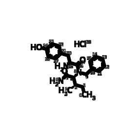 CC[C@H](C)[C@@H](C(N)=O)N(Cc1ccccc1)C(=O)[C@@H](N)Cc1ccc(O)cc1.Cl